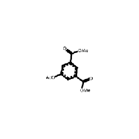 COC(=O)c1cc(OC(C)=O)cc(C(=O)OC)c1